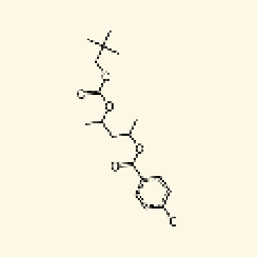 CC(CC(C)OC(=O)c1ccc(Cl)cc1)OC(=O)OCC(C)(C)C